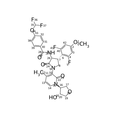 COc1cc(F)c([C@@H]2CN(c3c(C)ccn([C@H]4COC[C@@H]4O)c3=O)C(=O)C2NC(=O)c2ccc(OC(F)F)cc2)c(F)c1